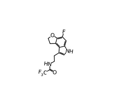 O=C(NCCc1c[nH]c2cc(F)c3c(c12)CCO3)C(F)(F)F